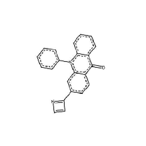 O=c1c2ccccc2n(-c2ccccc2)c2cc(C3=NC=C3)ccc12